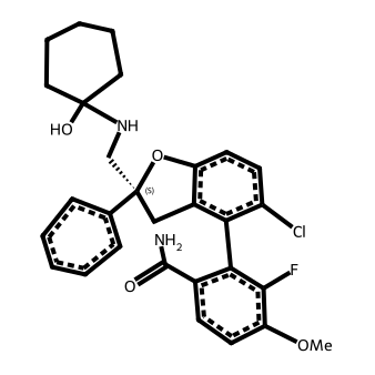 COc1ccc(C(N)=O)c(-c2c(Cl)ccc3c2C[C@@](CNC2(O)CCCCC2)(c2ccccc2)O3)c1F